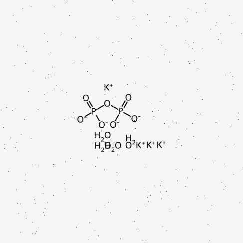 O.O.O.O.O=P([O-])([O-])OP(=O)([O-])[O-].[K+].[K+].[K+].[K+]